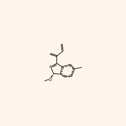 C=CC(=C)C1=N[C@H](OC)c2ccc(C)cc21